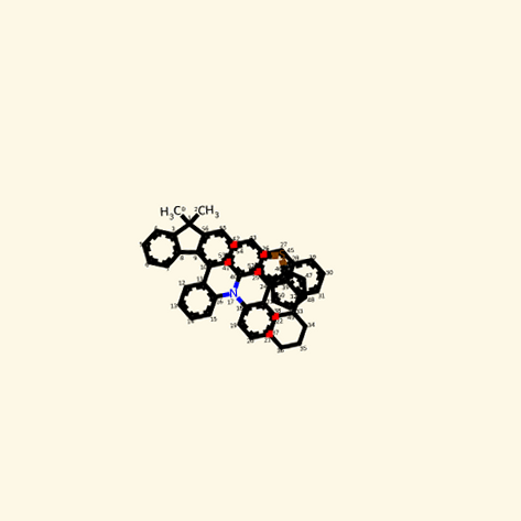 CC1(C)c2ccccc2-c2c(-c3ccccc3N(c3ccccc3-c3cccc4cccc(C5CCCCC5)c34)c3cccc4sc5ccccc5c34)cccc21